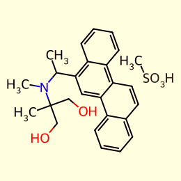 CC(c1cc2c3ccccc3ccc2c2ccccc12)N(C)C(C)(CO)CO.CS(=O)(=O)O